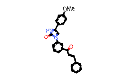 COc1ccc(-c2cn(-c3cccc(C(=O)C=Cc4ccccc4)c3)c(=O)[nH]2)cc1